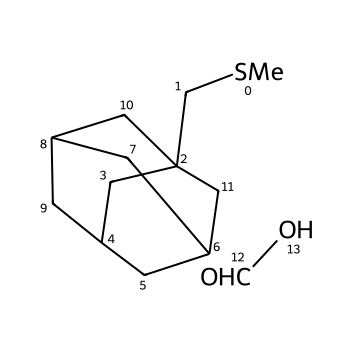 CSCC12CC3CC(CC(C3)C1)C2.O=CO